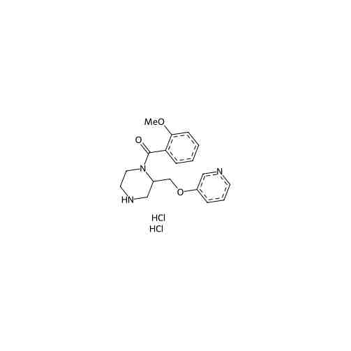 COc1ccccc1C(=O)N1CCNCC1COc1cccnc1.Cl.Cl